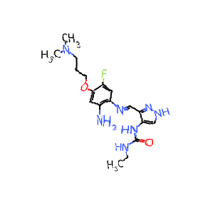 CCNC(=O)Nc1c[nH]nc1/C=N/c1cc(F)c(OCCCN(C)C)cc1N